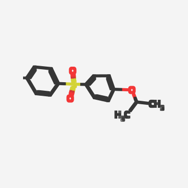 CC(C)Oc1ccc(S(=O)(=O)c2cc[c]cc2)cc1